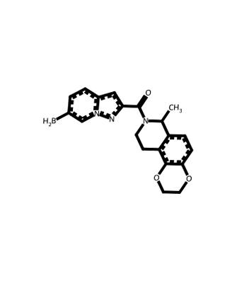 Bc1ccc2cc(C(=O)N3CCc4c(ccc5c4OCCO5)C3C)nn2c1